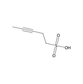 CC#CCCS(=O)(=O)O